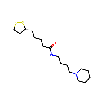 O=C(CCCC[C@@H]1CCSS1)NCCCCN1CCCCC1